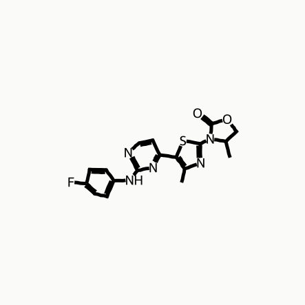 Cc1nc(N2C(=O)OCC2C)sc1-c1ccnc(Nc2ccc(F)cc2)n1